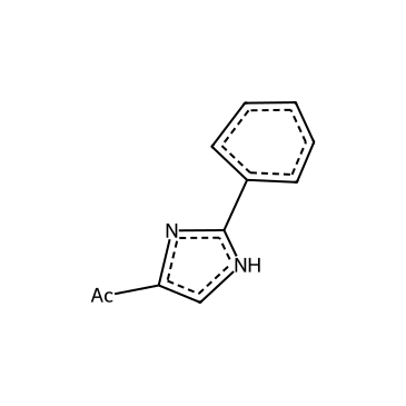 CC(=O)c1c[nH]c(-c2ccccc2)n1